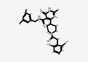 Cc1cc(C)cc(CNC(=O)c2c(C3CCN(C(=O)Cc4c(F)cccc4F)CC3)nc(C)[nH]c2=O)c1